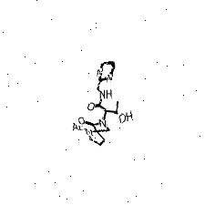 CC(=O)N1CCCC12CN(C(C(=O)NCc1ncccn1)[C@@H](C)O)C2=O